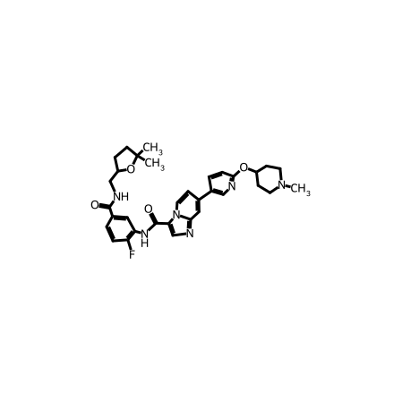 CN1CCC(Oc2ccc(-c3ccn4c(C(=O)Nc5cc(C(=O)NCC6CCC(C)(C)O6)ccc5F)cnc4c3)cn2)CC1